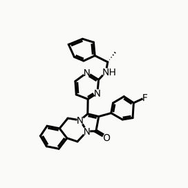 C[C@H](Nc1nccc(-c2c(-c3ccc(F)cc3)c(=O)n3n2Cc2ccccc2C3)n1)c1ccccc1